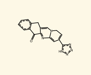 O=C1C2=NC3=CC(c4nnn[nH]4)=CCN3C=C2Cc2ccccc21